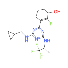 C[C@@H](Nc1nc(NCC2CC2)nc(C2=C(F)C(O)CCC2)n1)C(F)(F)F